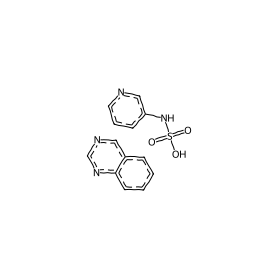 O=S(=O)(O)Nc1cccnc1.c1ccc2ncncc2c1